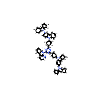 c1ccc2c(c1)c1ccccc1n2-c1ccc2c(c1)c1ccccc1n2-c1ccc(-c2nc(-c3ccc(-n4c5ccccc5c5cc(-n6c7ccccc7c7ccccc76)ccc54)cc3)nc(-n3c4ccccc4c4cccnc43)n2)cc1